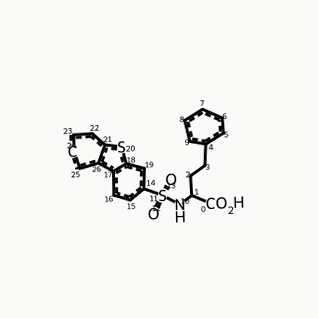 O=C(O)C(CCc1ccccc1)NS(=O)(=O)c1ccc2c(c1)sc1ccccc12